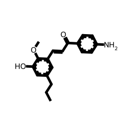 CCCc1cc(O)c(OC)c(C=CC(=O)c2ccc(N)cc2)c1